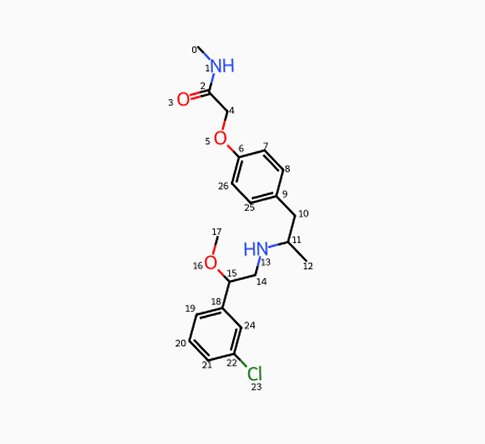 CNC(=O)COc1ccc(CC(C)NCC(OC)c2cccc(Cl)c2)cc1